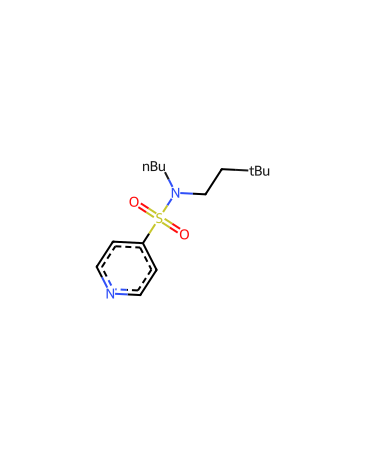 CCCCN(CCC(C)(C)C)S(=O)(=O)c1ccncc1